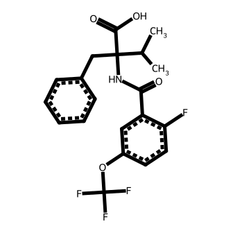 CC(C)C(Cc1ccccc1)(NC(=O)c1cc(OC(F)(F)F)ccc1F)C(=O)O